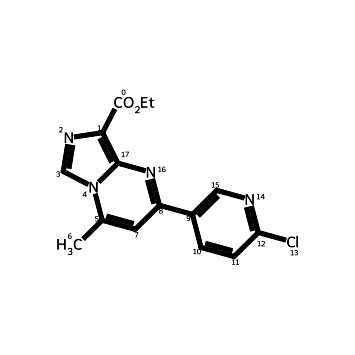 CCOC(=O)c1ncn2c(C)cc(-c3ccc(Cl)nc3)nc12